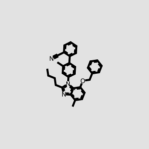 CCCCc1nc2c(C)ccc(OCc3ccccc3)c2n1-c1ccc(-c2ccccc2C#N)c(C)c1